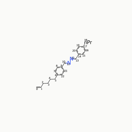 C=CCCCCc1ccc(C=NN=Cc2ccc(CCC)cc2)cc1